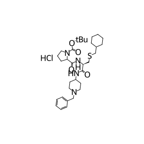 CC(C)(C)OC(=O)N1CCCC1C(=O)N[C@@H](CSCC1CCCCC1)C(=O)NC1CCN(Cc2ccccc2)CC1.Cl